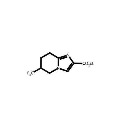 CCOC(=O)c1cn2c(n1)CCC(C(F)(F)F)C2